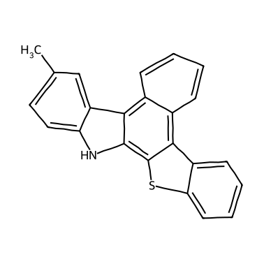 Cc1ccc2[nH]c3c4sc5ccccc5c4c4ccccc4c3c2c1